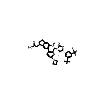 COc1cc2c(cc1-c1ccc(N3CCC3)nc1CN1C(=O)O[C@H](c3cc(C(F)(F)F)cc(C(F)(F)F)c3)[C@@H]1C)C(CC(=O)O)CC2